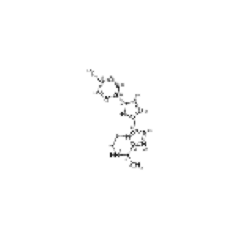 CC1NCCn2c(-c3nc(-c4ccc(F)cc4)no3)nnc21